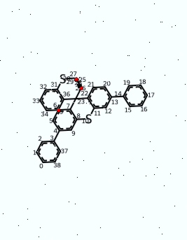 c1ccc(-c2ccc3c(c2)Sc2cc(-c4ccccc4)ccc2C32c3ccccc3Sc3ccccc32)cc1